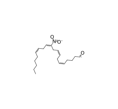 CCCCC/C=C\C/C=C(\C/C=C\C/C=C\CCC[C]=O)[N+](=O)[O-]